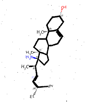 CC[C@H](/C=C/[C@@H](C)[C@@]1(N)CCC2C3CC=C4C[C@@H](O)CC[C@]4(C)C3CC[C@@]21C)C(C)C